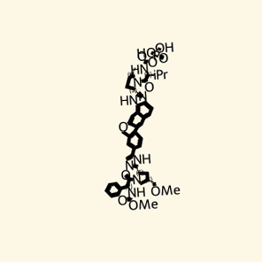 COC[C@H]1C[C@@H](c2ncc(-c3ccc4c(c3)COc3cc5c(ccc6nc([C@@H]7CC[C@H](C)N7C(=O)[C@@H](NC(=O)OP(=O)(O)O)C(C)C)[nH]c65)cc3-4)[nH]2)N(C(=O)[C@H](NC(=O)OC)c2ccccc2)C1